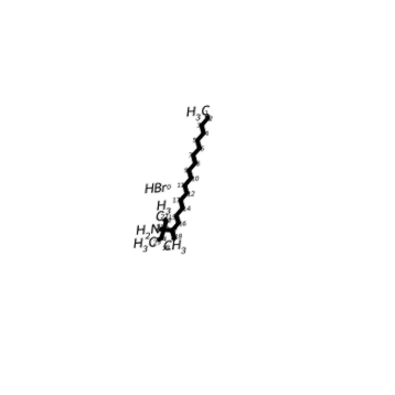 Br.CCCCCCCCCCCCCCCCC(CC)C(N)(CC)CC